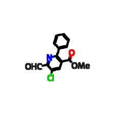 COC(=O)c1cc(Cl)c(C=O)nc1-c1ccccc1